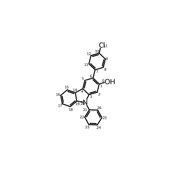 Oc1cc2c(cc1-c1ccc(Cl)cc1)c1ccccc1n2-c1ccccc1